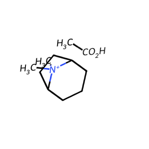 CC(=O)O.C[N+]1(C)C2CCCC1CC2